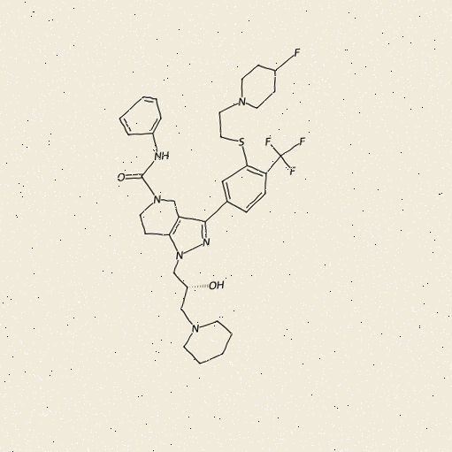 O=C(Nc1ccccc1)N1CCc2c(c(-c3ccc(C(F)(F)F)c(SCCN4CCC(F)CC4)c3)nn2C[C@H](O)CN2CCCCC2)C1